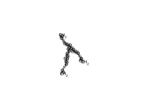 C=CC(=O)OCCCCCCOc1ccc(C(=O)Oc2ccc(OCCOC(=O)c3cc(OC(=O)c4ccc(OCCCCCOC(=O)C=C)cc4)ccc3OC(=O)c3ccc(OCCCCCOC(=O)C=C)cc3)cc2)cc1